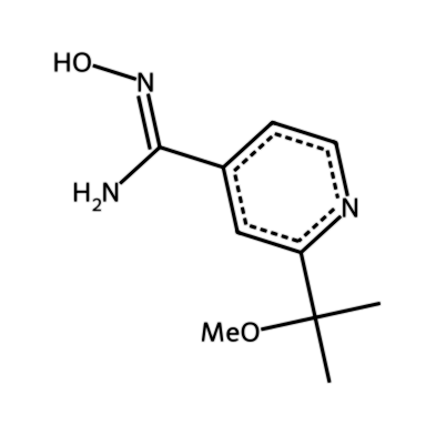 COC(C)(C)c1cc(/C(N)=N/O)ccn1